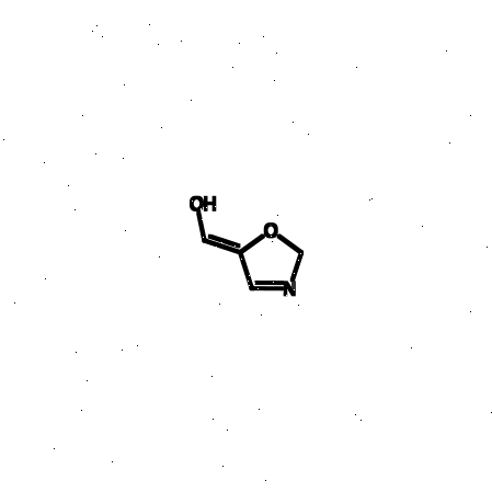 OC=C1C=NCO1